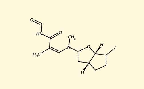 C/C(=C/N(C)C1C[C@H]2CCC(I)[C@H]2O1)C(=O)NC=O